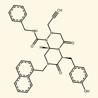 C#CCN1CC(=O)N2[C@@H](Cc3ccc(O)cc3)C(=O)N(Cc3cccc4ccccc34)C[C@@H]2N1C(=O)NCc1ccccc1